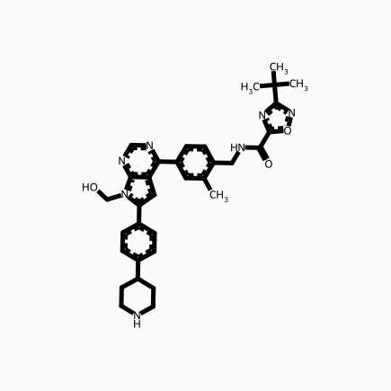 Cc1cc(-c2ncnc3c2cc(-c2ccc(C4CCNCC4)cc2)n3CO)ccc1CNC(=O)c1nc(C(C)(C)C)no1